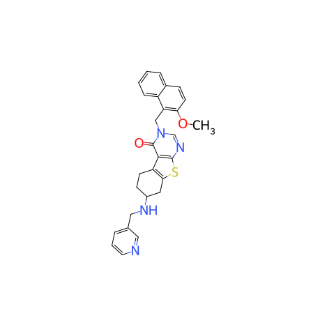 COc1ccc2ccccc2c1Cn1cnc2sc3c(c2c1=O)CCC(NCc1cccnc1)C3